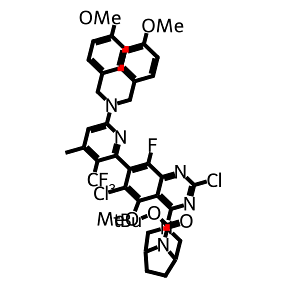 COc1ccc(CN(Cc2ccc(OC)cc2)c2cc(C)c(C(F)(F)F)c(-c3c(Cl)c(OC)c4c(N5CC6CCC(C5)N6C(=O)OC(C)(C)C)nc(Cl)nc4c3F)n2)cc1